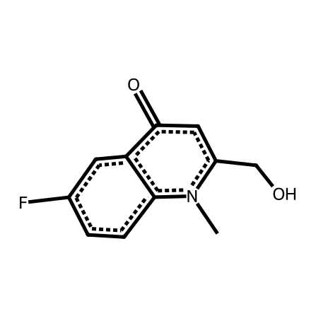 Cn1c(CO)cc(=O)c2cc(F)ccc21